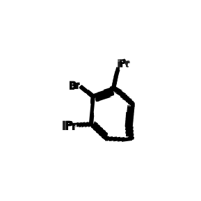 [CH2]C(C)c1cccc(C(C)C)c1Br